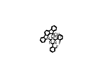 CC1(C)c2ccccc2-c2ccc3c4ccccc4n(-c4nc(-c5ccccc5F)nc(-c5ccccc5F)n4)c3c21